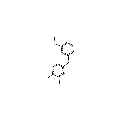 COc1cccc(Cc2ccc(C)c(C)n2)n1